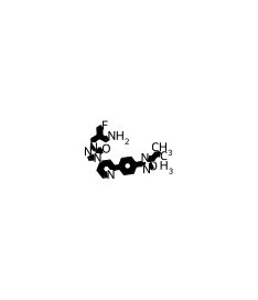 CC(C)c1nc(-c2ccc(-c3cc(-n4cnn(C/C(=C/F)CN)c4=O)ccn3)cc2)no1